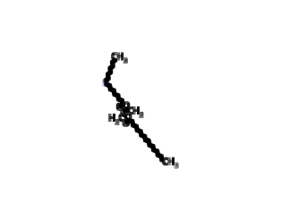 C=C(OC(=C)OC(=O)CCCCCCC/C=C\CCCCCCCC)OC(=O)CCCCCCCC=CCCCCCCCC